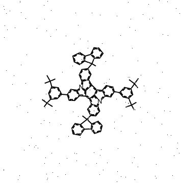 CC(C)(C)c1cc(-c2ccc3c4c5c6cc(C7(C)c8ccccc8-c8ccccc87)ccc6n6c7cc(-c8cc(C(C)(C)C)cc(C(C)(C)C)c8)ccc7c(c7c8cc(C9(C)c%10ccccc%10-c%10ccccc%109)ccc8n(c3c2)c74)c56)cc(C(C)(C)C)c1